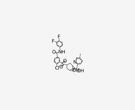 Cc1ccc(C(O)[C@@]2(O)C3CC(S(=O)(=O)c4cc(C(=O)Nc5ccc(F)c(F)c5)ccc4Cl)CC2[C@@H](C)C3)nc1